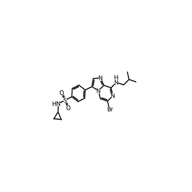 CC(C)CNc1nc(Br)cn2c(-c3ccc(S(=O)(=O)NC4CC4)cc3)cnc12